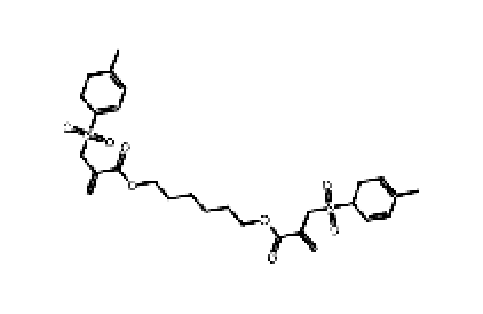 C=C(CS(=O)(=O)C1=CC=C(C)CC1)C(=O)OCCCCCCOC(=O)C(=C)CS(=O)(=O)C1C=CC(C)=CC1